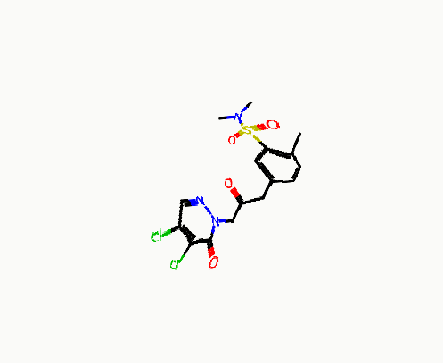 Cc1ccc(CC(=O)Cn2ncc(Cl)c(Cl)c2=O)cc1S(=O)(=O)N(C)C